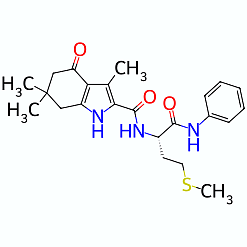 CSCC[C@H](NC(=O)c1[nH]c2c(c1C)C(=O)CC(C)(C)C2)C(=O)Nc1ccccc1